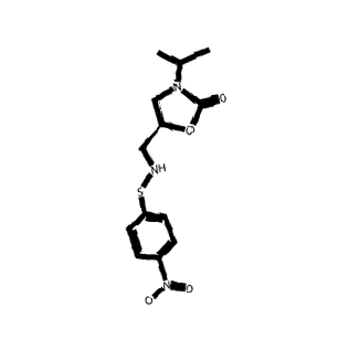 CC(C)N1C[C@H](CNSc2ccc([N+](=O)[O-])cc2)OC1=O